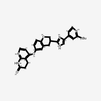 CC(C)(C)c1cc(-c2c[nH]c(C3COc4ccc(Oc5ccnc6c5CCC(=O)N6)cc4C3)n2)ccn1